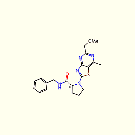 COCc1nc(C)c2sc(N3CCC[C@@H]3C(=O)NCc3ccccc3)nc2n1